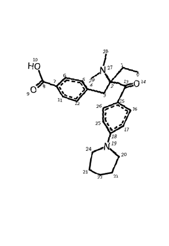 CCC(Cc1ccc(C(=O)O)cc1)(C(=O)c1ccc(N2CCCCC2)cc1)N(C)C